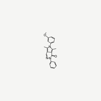 COc1cccc(-n2c(C)c3cnn(-c4ccccc4)c(=O)c3c2C)c1